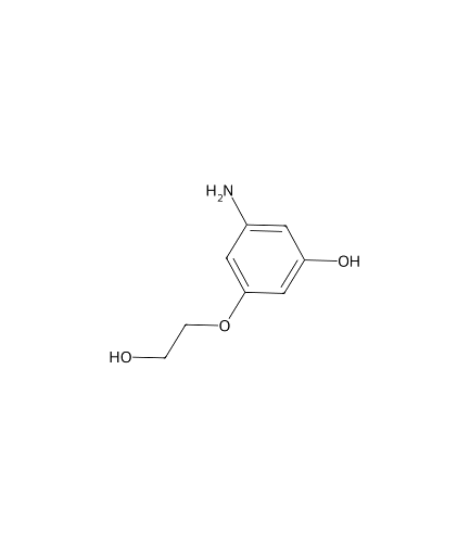 Nc1cc(O)cc(OCCO)c1